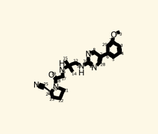 COc1cccc(-c2cnc(NCC(C)(C)NCC(=O)N3CCC[C@H]3C#N)nc2)c1